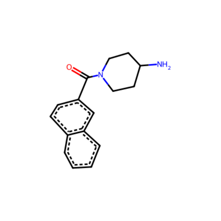 NC1CCN(C(=O)c2ccc3ccccc3c2)CC1